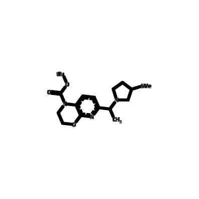 CSC1CCN(C(C)c2ccc3c(n2)OCCN3C(=O)OC(C)(C)C)C1